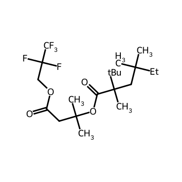 CCC(C)(C)CC(C)(C(=O)OC(C)(C)CC(=O)OCC(F)(F)C(F)(F)F)C(C)(C)C